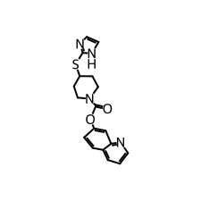 O=C(Oc1ccc2cccnc2c1)N1CCC(Sc2ncc[nH]2)CC1